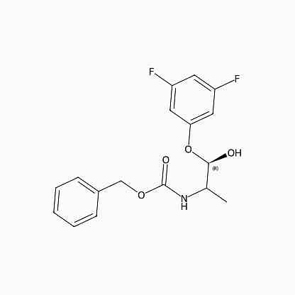 CC(NC(=O)OCc1ccccc1)[C@H](O)Oc1cc(F)cc(F)c1